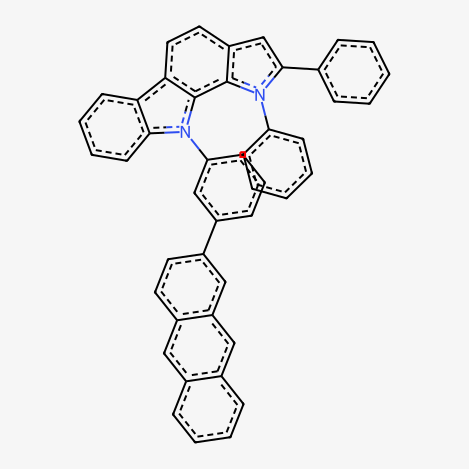 c1ccc(-c2cc3ccc4c5ccccc5n(-c5cccc(-c6ccc7cc8ccccc8cc7c6)c5)c4c3n2-c2ccccc2)cc1